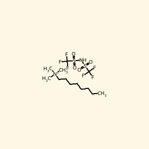 CCCCCCCC[N+](C)(C)C.O=S(=O)(NS(=O)(=O)C(F)(F)F)C(F)(F)F